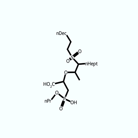 CCCCCCCCCCCCS(=O)(=O)C(CCCCCCC)C(C)OC(CP(=O)(O)OCCC)C(=O)O